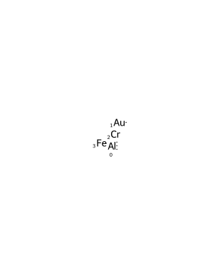 [Al].[Au].[Cr].[Fe]